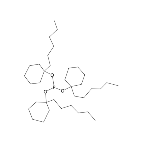 CCCCCCC1(OP(OC2(CCCCCC)CCCCC2)OC2(CCCCCC)CCCCC2)CCCCC1